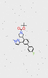 Cn1ccc(-c2cc(-c3ccc(F)cc3)ccc2C2CCN(C(=O)OC(C)(C)C)C2)n1